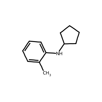 Cc1ccccc1NC1CCCC1